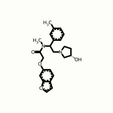 Cc1cccc(C(CN2CC[C@H](O)C2)N(C)C(=O)COc2ccc3ccoc3c2)c1